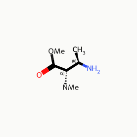 CN[C@H](C(=O)OC)[C@@H](C)N